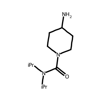 CC(C)N(C(=O)N1CCC(N)CC1)C(C)C